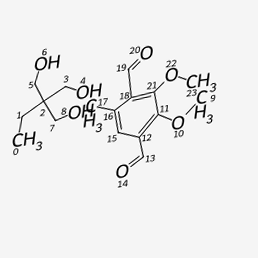 CCC(CO)(CO)CO.COc1c(C=O)cc(C)c(C=O)c1OC